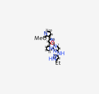 CCc1cc(Nc2ccnc(N3CCC[C@H]3c3cc(-c4cccnc4OC)no3)n2)n[nH]1